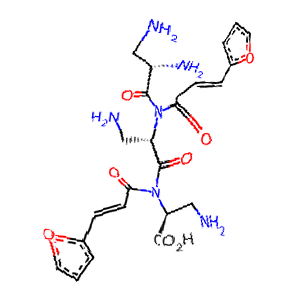 NC[C@H](N)C(=O)N(C(=O)C=Cc1ccco1)[C@@H](CN)C(=O)N(C(=O)C=Cc1ccco1)[C@@H](CN)C(=O)O